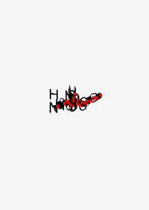 Cc1nc(N)sc1S(=O)(=O)N1Cc2cc3c(cc2CC1C(=O)N[C@@H](Cc1ccc(-c2ccc(C#N)cc2)cc1)C(=O)O)OC[C@H](c1ccc(OCc2ccccc2)cc1)O3